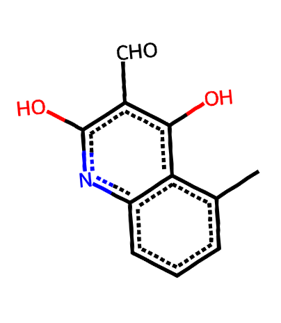 Cc1cccc2nc(O)c(C=O)c(O)c12